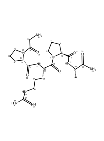 C[C@H](NC(=O)[C@@H]1CCCN1C(=O)[C@H](CCCNC(=N)N)NC(=O)[C@@H]1CCCN1C(=O)CN)C(N)=O